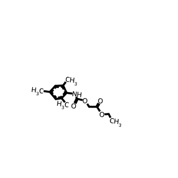 CCOC(=O)COC(=O)Nc1c(C)cc(C)cc1C